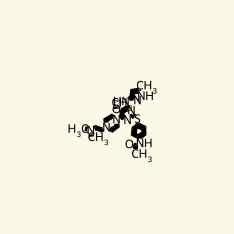 COc1c(Nc2cc(C)[nH]n2)nc(Sc2ccc(NC(C)=O)cc2)nc1N1CCN(CCN(C)C)CC1